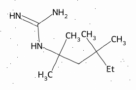 CCC(C)(C)CC(C)(C)NC(=N)N